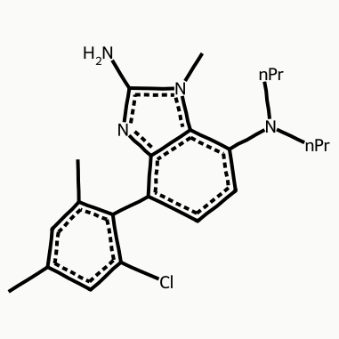 CCCN(CCC)c1ccc(-c2c(C)cc(C)cc2Cl)c2nc(N)n(C)c12